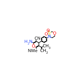 C=C(C)C1=C(NC)OC(N)=C(C#N)C1c1ccc(N2CCOCS2(=O)=O)cc1